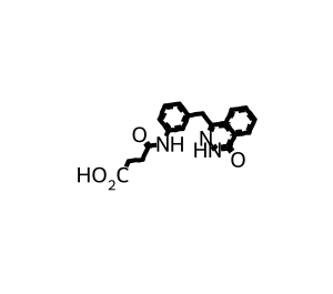 O=C(O)CCC(=O)Nc1cccc(Cc2n[nH]c(=O)c3ccccc23)c1